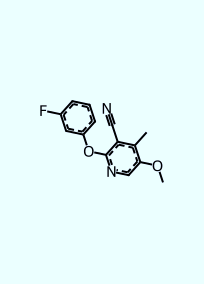 COc1cnc(Oc2cccc(F)c2)c(C#N)c1C